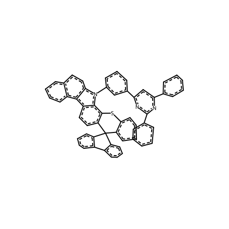 c1ccc(-c2cc(-c3cccc(-n4c5ccc6ccccc6c5c5ccc6c(c54)Sc4ccccc4C64c5ccccc5-c5ccccc54)c3)nc(-c3ccccc3)n2)cc1